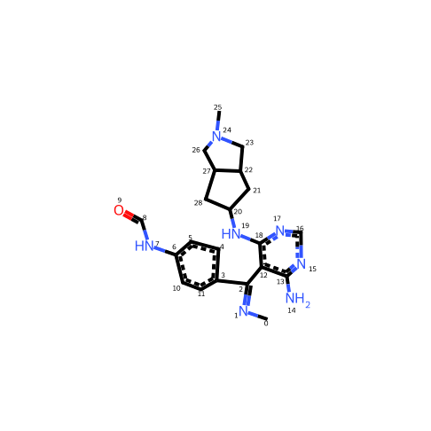 C/N=C(/c1ccc(NC=O)cc1)c1c(N)ncnc1NC1CC2CN(C)CC2C1